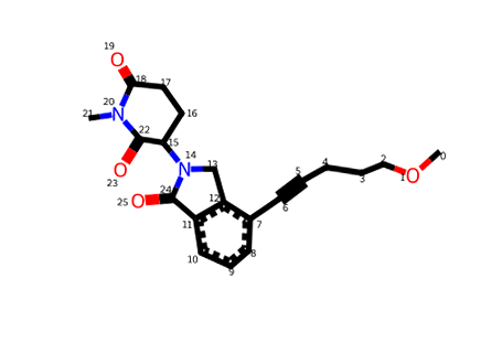 COCCCC#Cc1cccc2c1CN(C1CCC(=O)N(C)C1=O)C2=O